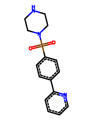 O=S(=O)(c1ccc(-c2ccccn2)cc1)N1CCNCC1